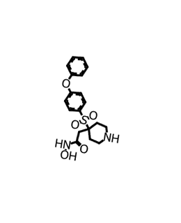 O=C(CC1(S(=O)(=O)c2ccc(Oc3ccccc3)cc2)CCNCC1)NO